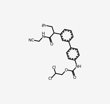 CC(C)CC(C(=O)NCC#N)c1cccc(-c2ccc(NC(=O)OCC(Cl)Cl)cc2)c1